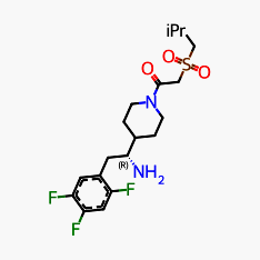 CC(C)CS(=O)(=O)CC(=O)N1CCC([C@H](N)Cc2cc(F)c(F)cc2F)CC1